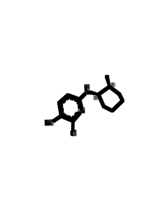 C[C@H]1CCCC[C@H]1Nc1ccc(C#N)c(Cl)n1